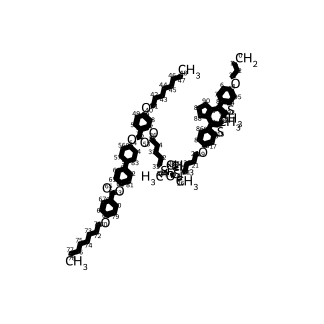 C=CCCOc1ccc2c(C3=C(c4c(C)sc5cc(OCCCC[Si](C)(C)O[Si](C)(C)CCCCCOc6cc(OCCCCCCCC)ccc6C(=O)OC6CCC(c7ccc(OC(=O)c8ccc(OCCCCCCCC)cc8)cc7)CC6)ccc45)CCC3)c(C)sc2c1